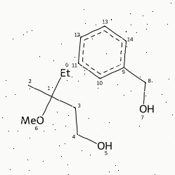 CCC(C)(CCO)OC.OCc1ccccc1